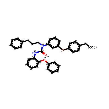 O=C(O)Cc1ccc(Sc2cccc(N(CCCc3ccccc3)C(=O)Nc3ccccc3Oc3ccccc3)c2)cc1